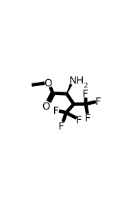 COC(=O)[C@@H](N)C(C(F)(F)F)C(F)(F)F